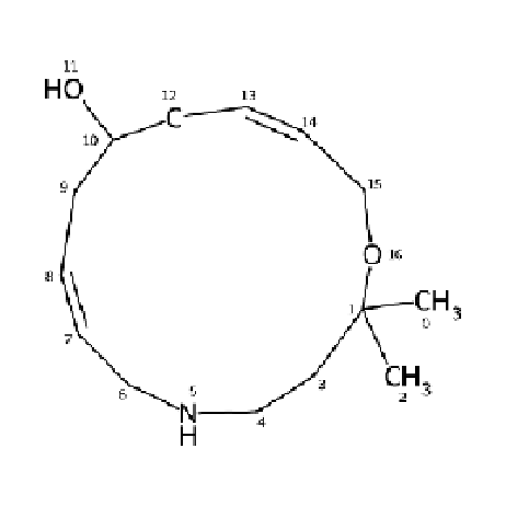 CC1(C)CCNCC=CCC(O)CC=CCO1